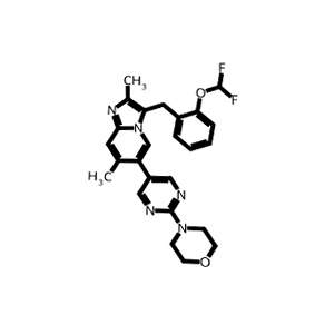 Cc1cc2nc(C)c(Cc3ccccc3OC(F)F)n2cc1-c1cnc(N2CCOCC2)nc1